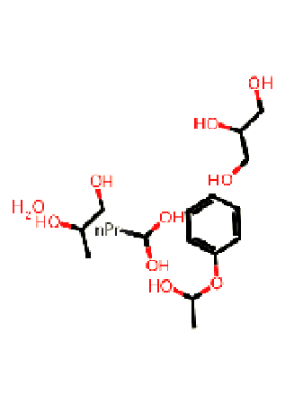 CC(O)CO.CC(O)Oc1ccccc1.CCCC(O)O.O.OCC(O)CO